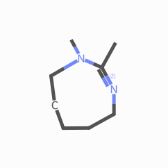 C/C1=N/CCCCCN1C